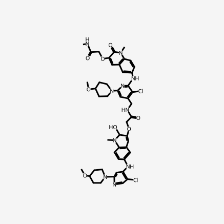 CNC(=O)COc1cc2cc(Nc3nc(N4CCC(OC)CC4)cc(CNC(=O)COC4=Cc5cc(Nc6cc(N7CCC(OC)CC7)ncc6Cl)ccc5N(C)C4O)c3Cl)ccc2n(C)c1=O